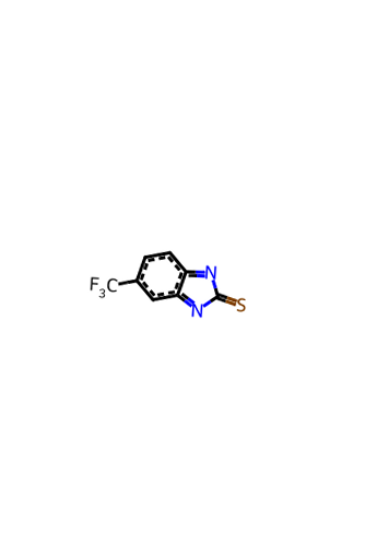 FC(F)(F)c1ccc2c(c1)=NC(=S)N=2